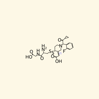 NC(CSSC1CCN(C(C(=O)C2CC2)c2ccccc2F)C/C1=C/C(=O)O)C(=O)NCC(=O)O